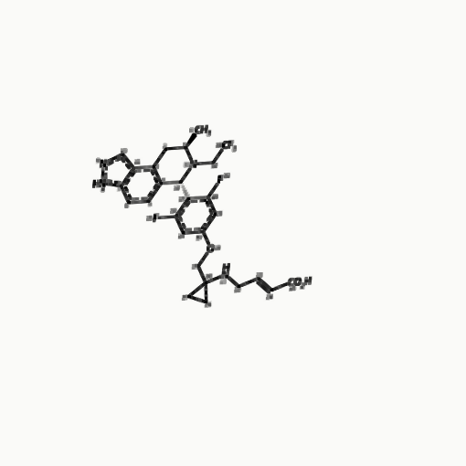 C[C@@H]1Cc2c(ccc3[nH]ncc23)[C@@H](c2c(F)cc(OCC3(NC/C=C/C(=O)O)CC3)cc2F)N1CC(F)(F)F